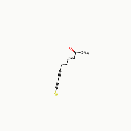 COC(=O)/C=C/CCC#CC#CS